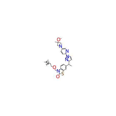 COC1(C)CN(c2ccc(-n3ccc(C(C)c4ccc5c(c4)sc(=O)n5COCC[Si](C)(C)C)n3)nc2)C1